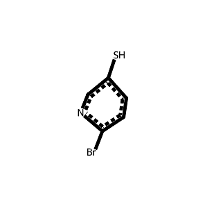 Sc1ccc(Br)nc1